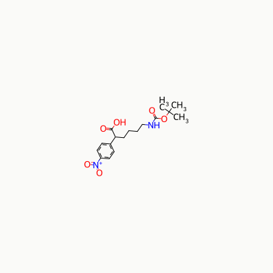 CC(C)(C)OC(=O)NCCCCC(C(=O)O)c1ccc([N+](=O)[O-])cc1